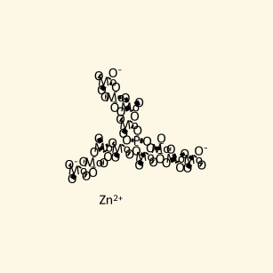 O=P([O][Mo](=[O])(=[O])[O][Mo](=[O])(=[O])[O][Mo](=[O])(=[O])[O][Mo](=[O])(=[O])[O-])([O][Mo](=[O])(=[O])[O][Mo](=[O])(=[O])[O][Mo](=[O])(=[O])[O][Mo](=[O])(=[O])[O-])[O][Mo](=[O])(=[O])[O][Mo](=[O])(=[O])[O][Mo](=[O])(=[O])[O][Mo](=[O])(=[O])[O-].[Zn+2]